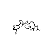 CN1C(=O)CC[C@@]2(C)C1=CC[C@@H]1[C@@H]2CC[C@]2(C)C(c3cncc(Cl)c3)=CC[C@@H]12